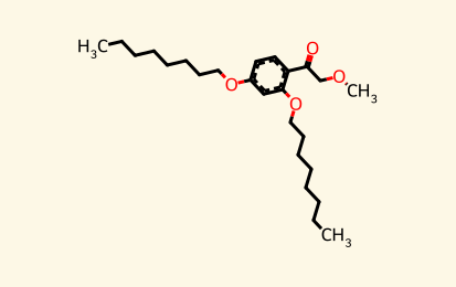 CCCCCCCCOc1ccc(C(=O)COC)c(OCCCCCCCC)c1